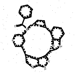 O=C(c1ccccc1)n1c2cncc(c2)c2cnc3[nH]nc(c4nc5c(cccc5c5ccc1s5)[nH]4)c3c2